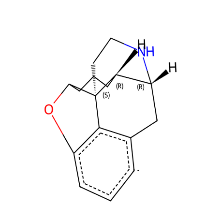 [c]1ccc2c3c1C[C@H]1NCC[C@@]34C(CCC[C@@H]14)O2